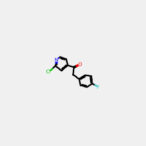 O=C(Cc1ccc(F)cc1)c1ccnc(Cl)c1